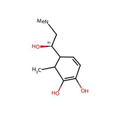 CNC[C@H](O)C1C=CC(O)=C(O)C1C